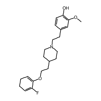 COc1cc(CCN2CCC(CCOC3=CCCC=C3F)CC2)ccc1O